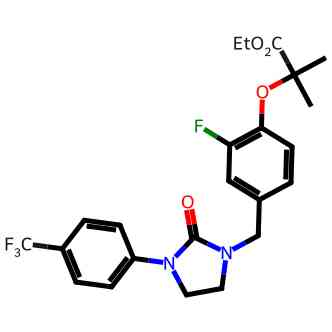 CCOC(=O)C(C)(C)Oc1ccc(CN2CCN(c3ccc(C(F)(F)F)cc3)C2=O)cc1F